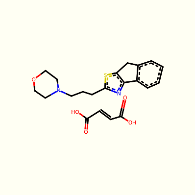 O=C(O)/C=C/C(=O)O.c1ccc2c(c1)Cc1sc(CCCN3CCOCC3)nc1-2